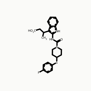 CC(CC(=O)O)c1c(NC(=O)N2CCC(Sc3ccc(F)cc3)CC2)[nH]c2ccccc12